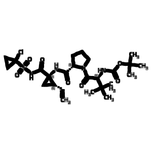 C=C[C@@H]1C[C@]1(NC(=O)[C@@H]1CCCN1C(=O)[C@@H](NC(=O)OC(C)(C)C)C(C)(C)C)C(=O)NS(=O)(=O)C1(Cl)CC1